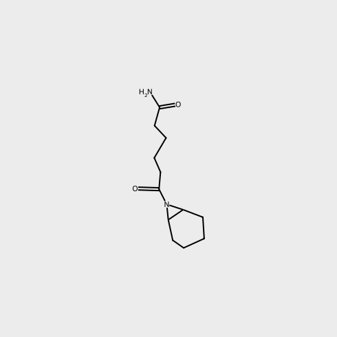 NC(=O)CCCCC(=O)N1C2CCCCC21